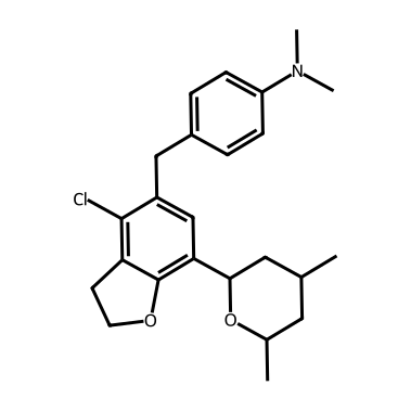 CC1CC(C)OC(c2cc(Cc3ccc(N(C)C)cc3)c(Cl)c3c2OCC3)C1